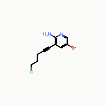 Nc1ncc(Br)cc1C#CCCCCl